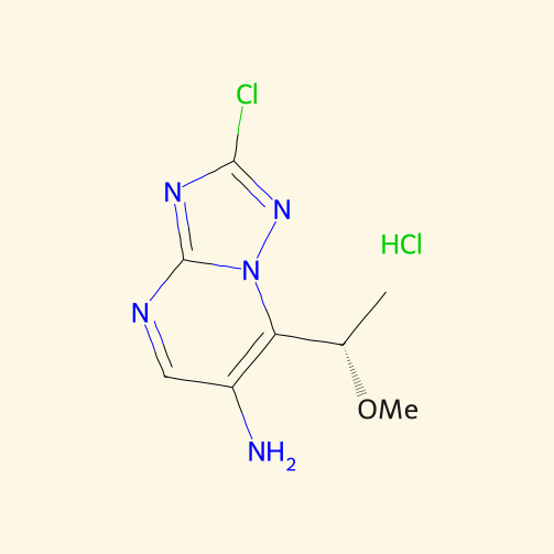 CO[C@@H](C)c1c(N)cnc2nc(Cl)nn12.Cl